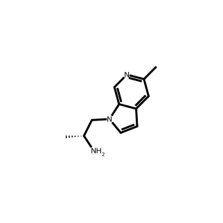 Cc1cc2ccn(C[C@@H](C)N)c2cn1